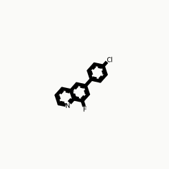 Fc1cc(-c2ccc(Cl)cc2)cc2cccnc12